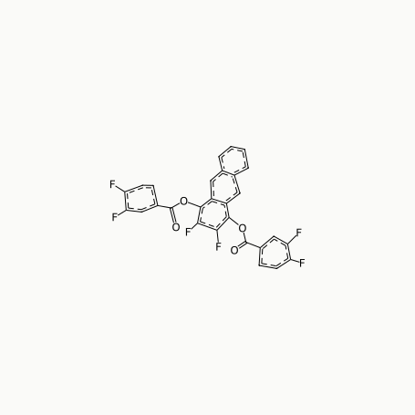 O=C(Oc1c(F)c(F)c(OC(=O)c2ccc(F)c(F)c2)c2cc3ccccc3cc12)c1ccc(F)c(F)c1